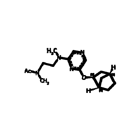 CC(=O)N(C)CCN(C)c1cncc(O[C@H]2C[C@H]3CC[C@@H]2C3)n1